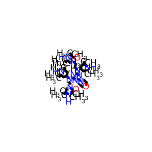 CC1(C)CC(N(CCN2CC(C)(C)NC(C)(C)C2=O)c2nc(N3CCOCC3)nc(N(CCN3CC(C)(C)NC(C)(C)C3=O)C3CC(C)(C)NC(C)(C)C3)n2)CC(C)(C)N1